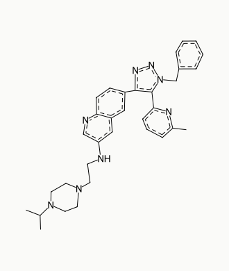 Cc1cccc(-c2c(-c3ccc4ncc(NCCN5CCN(C(C)C)CC5)cc4c3)nnn2Cc2ccccc2)n1